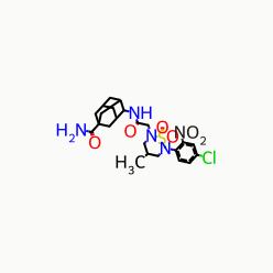 CC1CN(CC(=O)NC2C3CC4CC2CC(C(N)=O)(C4)C3)S(=O)(=O)N(c2ccc(Cl)cc2[N+](=O)[O-])C1